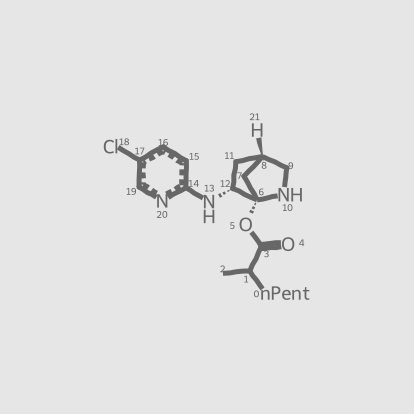 CCCCCC(C)C(=O)O[C@]12C[C@@H](CN1)C[C@H]2Nc1ccc(Cl)cn1